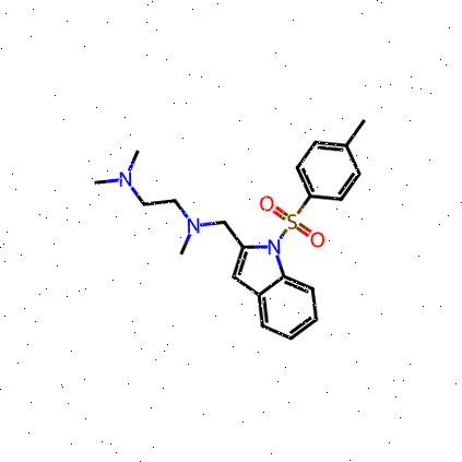 Cc1ccc(S(=O)(=O)n2c(CN(C)CCN(C)C)cc3ccccc32)cc1